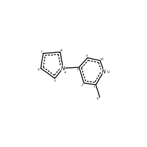 Cc1cc(-n2cccc2)ccn1